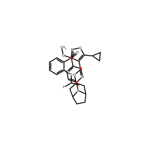 COC(=O)c1cnc(N2C3CCC2CC(OCc2c(-c4ccccc4OC(F)F)noc2C2CC2)C3)cn1